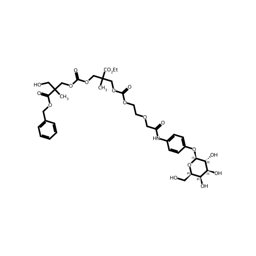 CCOC(=O)C(C)(COC(=O)OCCOCC(=O)Nc1ccc(O[C@@H]2O[C@H](CO)[C@H](O)[C@H](O)[C@H]2O)cc1)COC(=O)OCC(C)(CO)C(=O)OCc1ccccc1